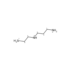 NCCCNCC[SiH3]